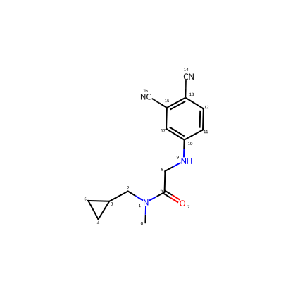 CN(CC1CC1)C(=O)CNc1ccc(C#N)c(C#N)c1